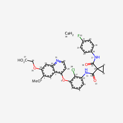 COc1cc2c(Oc3cccc(NC(=O)C4(C(=O)Nc5ccc(F)cc5)CC4)c3Cl)ccnc2cc1OCC(=O)O.[CaH2]